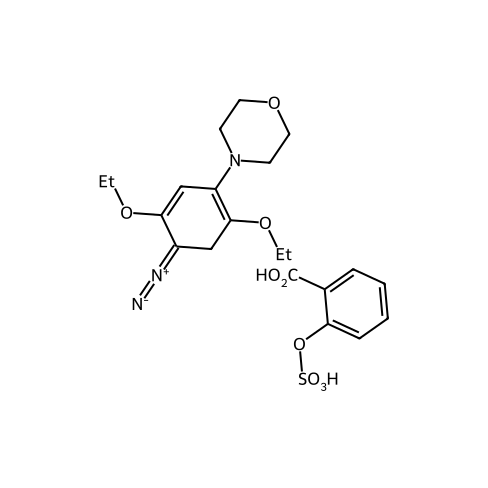 CCOC1=CC(N2CCOCC2)=C(OCC)CC1=[N+]=[N-].O=C(O)c1ccccc1OS(=O)(=O)O